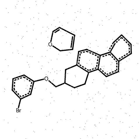 Brc1cccc(OCC2CCc3c(ccc4c3ccc3ccccc34)C2)c1.C1=CCOC=C1